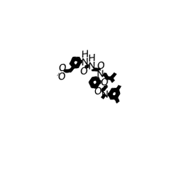 COC(=O)Cc1cccc(NC(=O)NCC(=O)N(CCC(C)C)c2ccccc2OCC(=O)N(C)c2cc(C)cc(C)c2)c1